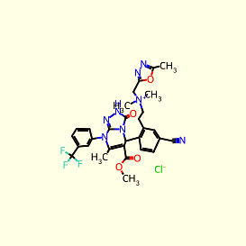 COC(=O)C1=C(C)N(c2cccc(C(F)(F)F)c2)c2n[nH]c(=O)n2C1c1ccc(C#N)cc1CC[N+](C)(C)Cc1nnc(C)o1.[Cl-]